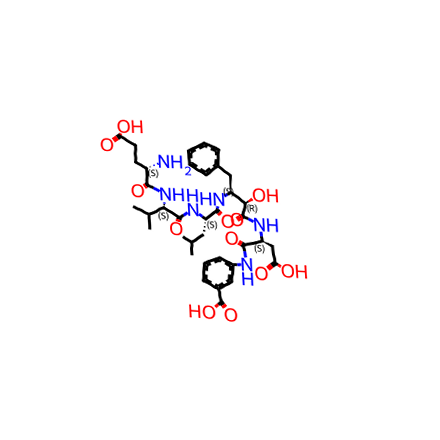 CC(C)C[C@H](NC(=O)[C@@H](NC(=O)[C@@H](N)CCC(=O)O)C(C)C)C(=O)N[C@@H](Cc1ccccc1)[C@@H](O)C(=O)N[C@@H](CC(=O)O)C(=O)Nc1cccc(C(=O)O)c1